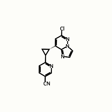 N#Cc1ccc(C2C[C@@H]2c2cc(Cl)nn3ccnc23)nc1